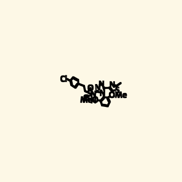 COc1cccc(OC)c1-n1c(NS(=O)(=O)CCc2ccc(Cl)cc2)nnc1-c1csc(C)n1